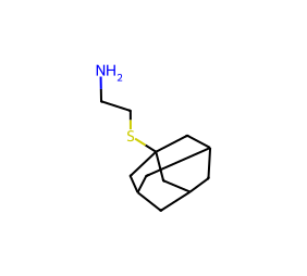 NCCSC12CC3CC(CC(C3)C1)C2